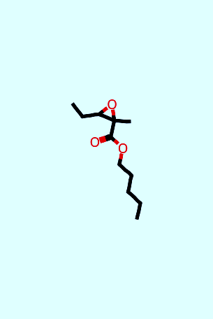 CCCCCOC(=O)C1(C)OC1CC